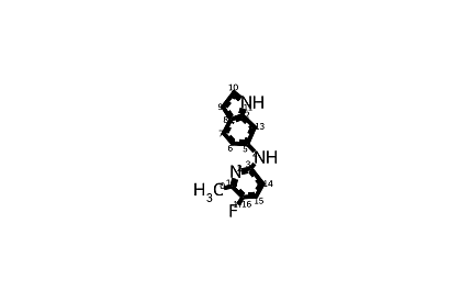 Cc1nc(Nc2ccc3cc[nH]c3c2)ccc1F